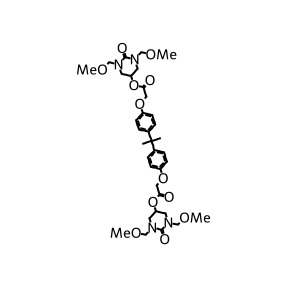 COCN1CC(OC(=O)COc2ccc(C(C)(C)c3ccc(OCC(=O)OC4CN(COC)C(=O)N(COC)C4)cc3)cc2)CN(COC)C1=O